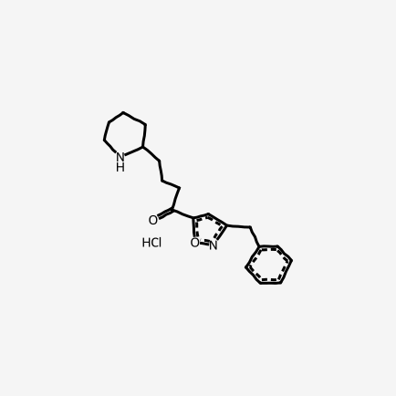 Cl.O=C(CCCC1CCCCN1)c1cc(Cc2ccccc2)no1